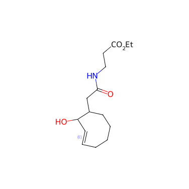 CCOC(=O)CCNC(=O)CC1CCCC/C=C/C1O